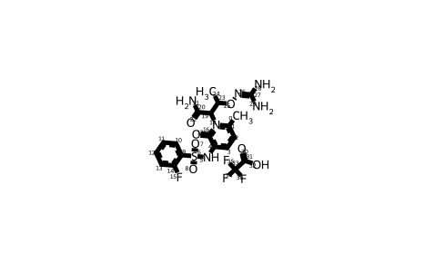 Cc1ccc(NS(=O)(=O)c2ccccc2F)c(=O)n1C(C(N)=O)C(C)ON=C(N)N.O=C(O)C(F)(F)F